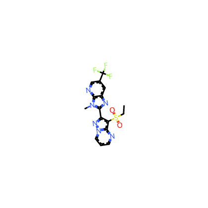 CCS(=O)(=O)c1c(-c2nc3cc(C(F)(F)F)cnc3n2C)nn2cccnc12